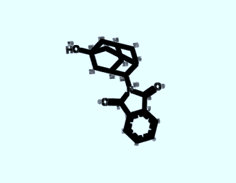 O=C1c2ccccc2C(=O)N1C1C2CC3CC1CC(O)(C3)C2